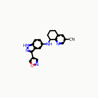 N#Cc1cnc2c(c1)CCCC2Nc1ccc2[nH]nc(-c3cnoc3)c2c1